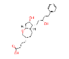 O=C(O)CCC[C@H]1CC[C@@H]2[C@@H](CC[C@@H](O)CCc3ccccc3)[C@H](O)C[C@@H]2OC1